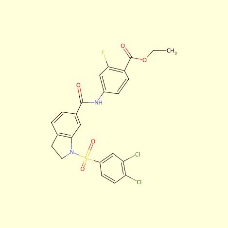 CCOC(=O)c1ccc(NC(=O)c2ccc3c(c2)N(S(=O)(=O)c2ccc(Cl)c(Cl)c2)CC3)cc1F